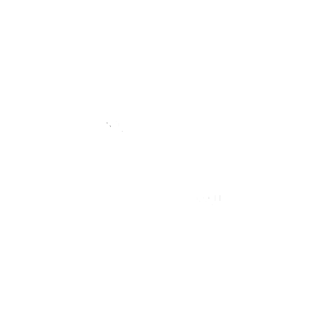 O=C(O)c1ccc(C[N+](=O)[O-])cc1O